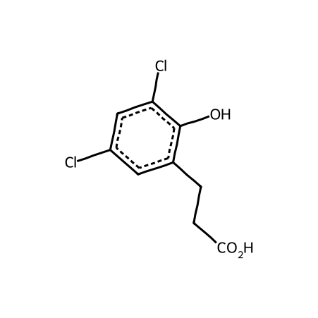 O=C(O)CCc1cc(Cl)cc(Cl)c1O